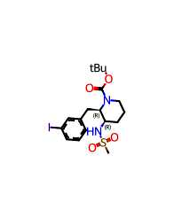 CC(C)(C)OC(=O)N1CCC[C@@H](NS(C)(=O)=O)[C@H]1Cc1cccc(I)c1